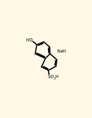 O=S(=O)(O)c1[c]c2cc(O)ccc2cc1.[NaH]